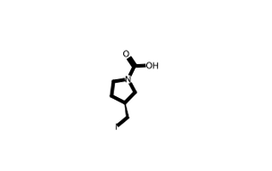 O=C(O)N1CC[C@H](CI)C1